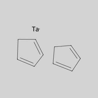 C1=CCC=C1.C1=CCC=C1.[Ta]